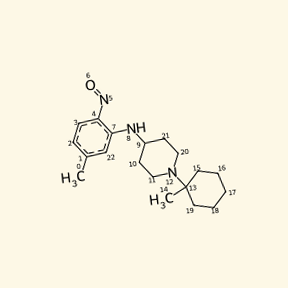 Cc1ccc(N=O)c(NC2CCN(C3(C)CCCCC3)CC2)c1